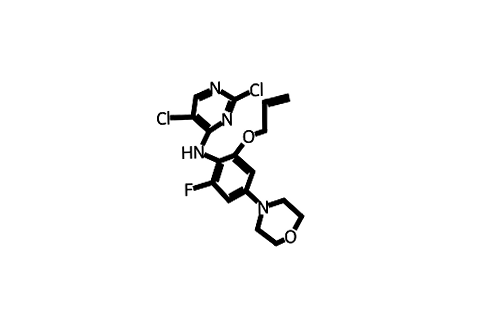 C=CCOc1cc(N2CCOCC2)cc(F)c1Nc1nc(Cl)ncc1Cl